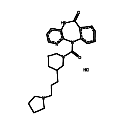 Cl.O=C1Nc2cccnc2N(C(=O)N2CCCC(CCCN3CCCC3)C2)c2ccccc21